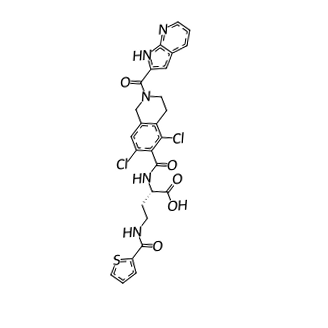 O=C(NCC[C@H](NC(=O)c1c(Cl)cc2c(c1Cl)CCN(C(=O)c1cc3cccnc3[nH]1)C2)C(=O)O)c1cccs1